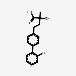 CC(O)(CCc1ccc(-c2ccccc2Cl)cc1)C(=O)O